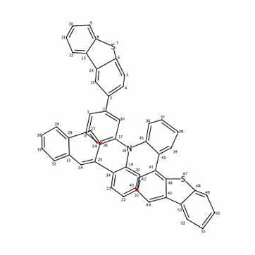 c1cc(-c2ccc3sc4ccccc4c3c2)cc(N(c2ccccc2-c2ccc3ccccc3c2)c2ccccc2-c2cccc3c2sc2ccccc23)c1